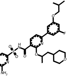 CC(C)COc1cc(F)cc(-c2ccc(C(=O)NS(=O)(=O)c3cccc(N)n3)c(OC(C)CC3CCOCC3)n2)c1